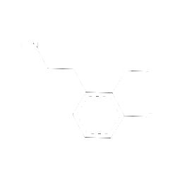 CCOc1c(CC)cccc1CCN